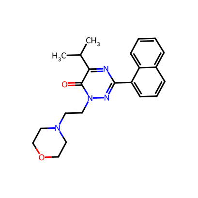 CC(C)c1nc(-c2cccc3ccccc23)nn(CCN2CCOCC2)c1=O